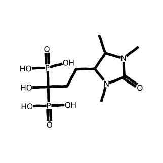 CC1C(CCC(O)(P(=O)(O)O)P(=O)(O)O)N(C)C(=O)N1C